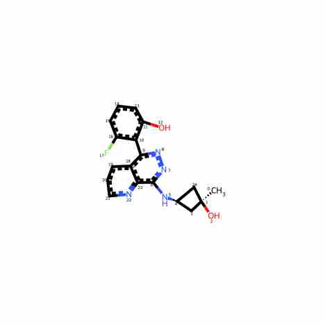 C[C@]1(O)C[C@@H](Nc2nnc(-c3c(O)cccc3F)c3cccnc23)C1